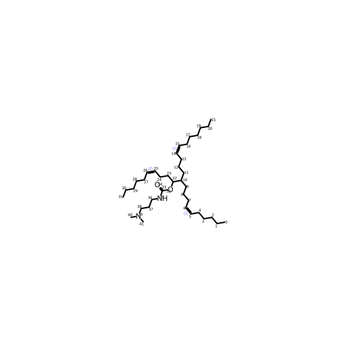 CCCCC/C=C\CCCC(CCC/C=C\CCCCCC)C(CC/C=C\CCCCC)OC(=O)NCCCN(C)C